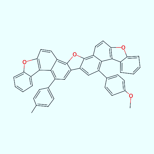 COc1ccc(-c2cc3c4cc(-c5ccc(C)cc5)c5c(ccc6oc7ccccc7c65)c4oc3c3ccc4oc5ccccc5c4c23)cc1